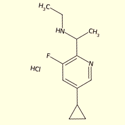 CCNC(C)c1ncc(C2CC2)cc1F.Cl